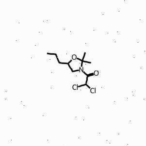 CCCC1CN(C(=O)C(Cl)Cl)C(C)(C)O1